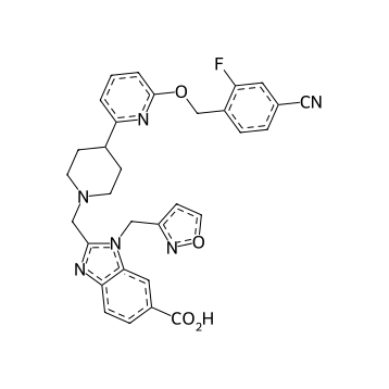 N#Cc1ccc(COc2cccc(C3CCN(Cc4nc5ccc(C(=O)O)cc5n4Cc4ccon4)CC3)n2)c(F)c1